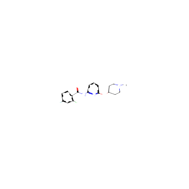 CCCN1CCC(Oc2cccc(NC(=O)c3ccc(F)cc3Cl)n2)CC1